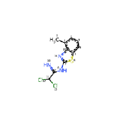 Cc1cccc2sc(NC(=N)C(Cl)Cl)nc12